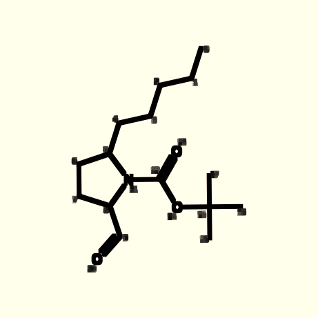 CCCCCC1CCC(C=O)N1C(=O)OC(C)(C)C